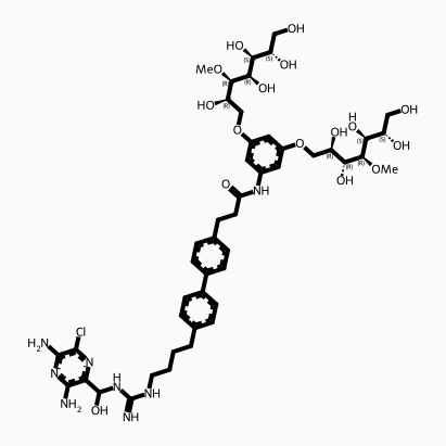 CO[C@H]([C@@H](O)[C@@H](O)CO)[C@H](O)[C@H](O)COc1cc(NC(=O)CCc2ccc(-c3ccc(CCCCNC(=N)NC(O)c4nc(Cl)c(N)nc4N)cc3)cc2)cc(OC[C@@H](O)[C@@H](OC)[C@H](O)[C@@H](O)[C@@H](O)CO)c1